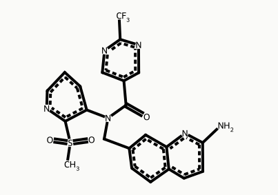 CS(=O)(=O)c1ncccc1N(Cc1ccc2ccc(N)nc2c1)C(=O)c1cnc(C(F)(F)F)nc1